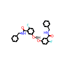 O=C(NCc1ccccc1)c1cc(OBOc2ccc(F)c(C(=O)NCc3ccccc3)c2)ccc1F